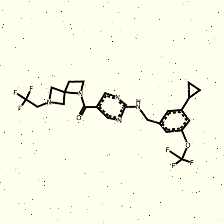 O=C(c1cnc(NCc2cc(OC(F)(F)F)cc(C3CC3)c2)nc1)N1CCC12CN(CC(F)(F)F)C2